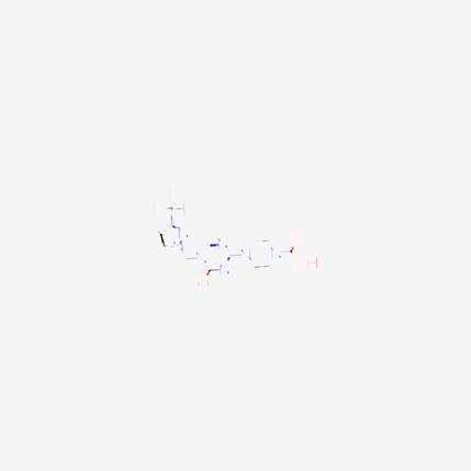 O=C(O)N1CCN(c2ncn(Cn3ccc(C(F)(F)F)n3)c(=O)n2)CC1